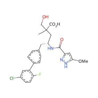 COc1cc(C(=O)N[C@H](Cc2ccc(-c3cc(Cl)ccc3F)cc2)CC(C)(CO)C(=O)O)n[nH]1